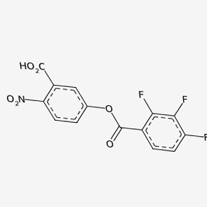 O=C(O)c1cc(OC(=O)c2ccc(F)c(F)c2F)ccc1[N+](=O)[O-]